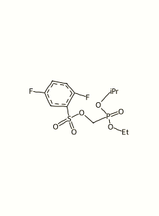 CCOP(=O)(COS(=O)(=O)c1cc(F)ccc1F)OC(C)C